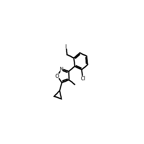 Cc1c(-c2c(Cl)cccc2CI)noc1C1CC1